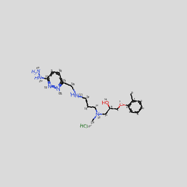 Cc1ccccc1OCC(O)CN(C)CCCNCc1ccc(NN)nn1.Cl